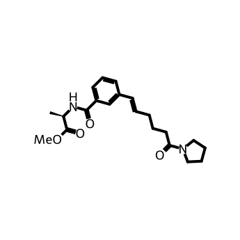 COC(=O)[C@@H](C)NC(=O)c1cccc(C=CCCCC(=O)N2CCCC2)c1